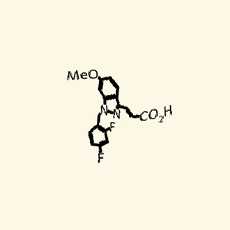 COc1ccc2c(C=CC(=O)O)nn(Cc3ccc(F)cc3F)c2c1